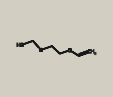 C=COCCOCO